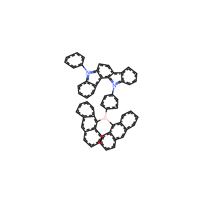 c1ccc(-n2c3ccccc3c3c2ccc2c4ccccc4n(-c4ccc(B(c5c6ccccc6cc6ccccc56)c5c6ccccc6cc6ccccc56)cc4)c23)cc1